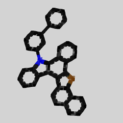 c1ccc(-c2cccc(-n3c4ccccc4c4c5c6ccc7ccccc7c6sc5c5ccccc5c43)c2)cc1